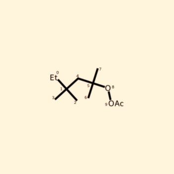 CCC(C)(C)CC(C)(C)OOC(C)=O